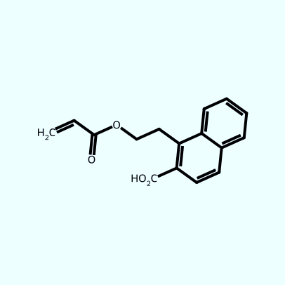 C=CC(=O)OCCc1c(C(=O)O)ccc2ccccc12